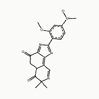 COc1cc([S+](C)[O-])ccc1C1=NC2=C3C=NC(C)(C)C(=O)C3CC(=O)C2=N1